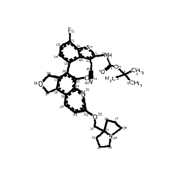 CC(C)(C)OC(=O)Nc1sc2c(F)ccc(-c3c4c(c5ccc(OCC67CCCN6CCC7)nc5c3Cl)COC4)c2c1C#N